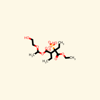 CCOC(=O)C(CC)(C(CC)C(=O)OC(C)OCCO)P(=O)(O)O